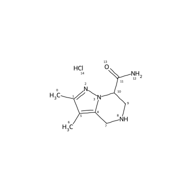 Cc1nn2c(c1C)CNCC2C(N)=O.Cl